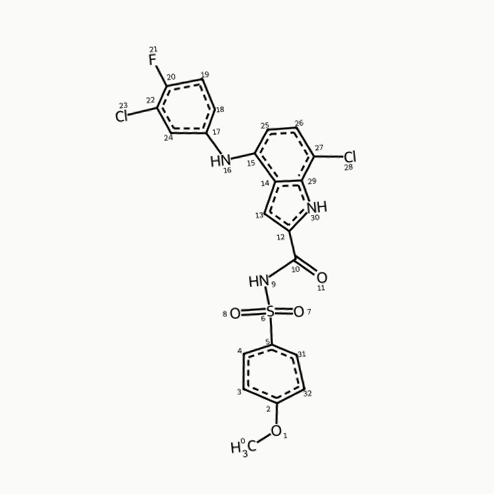 COc1ccc(S(=O)(=O)NC(=O)c2cc3c(Nc4ccc(F)c(Cl)c4)ccc(Cl)c3[nH]2)cc1